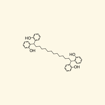 Oc1ccccc1C(CCCCCCCCCCCCC(c1ccccc1O)c1ccccc1O)c1ccccc1O